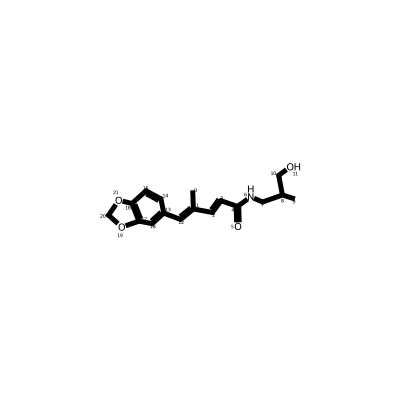 CC(/C=C/C(=O)NCC(C)CO)=C\c1ccc2c(c1)OCO2